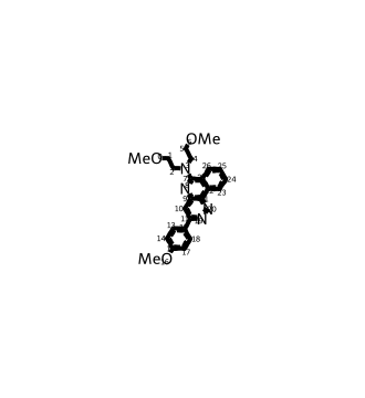 COCCN(CCOC)c1nc2cc(-c3ccc(OC)cc3)nnc2c2ccccc12